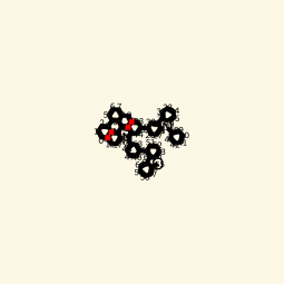 c1ccc(-c2cccc3cccc(-c4ccccc4N(c4cccc(-c5ccc6c(c5)c5ccccc5n6-c5ccccc5)c4)c4cccc(-c5cccc6oc7ccccc7c56)c4)c23)cc1